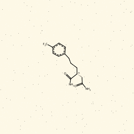 NC(=O)C[C@@H](CCCc1ccc(C(F)(F)F)cc1)C(N)=O